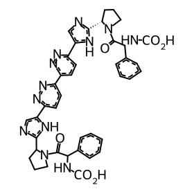 O=C(O)NC(C(=O)N1CCCC1c1ncc(-c2ccc(-c3ccc(-c4cnc([C@@H]5CCCN5C(=O)[C@H](NC(=O)O)c5ccccc5)[nH]4)nn3)nn2)[nH]1)c1ccccc1